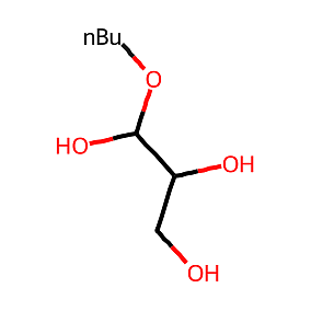 CCCCOC(O)C(O)CO